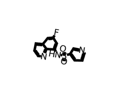 O=S(=O)(Nc1cc(F)cc2cccnc12)c1cccnc1